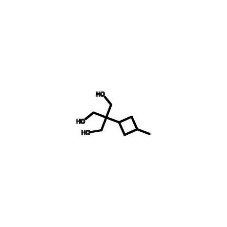 CC1CC(C(CO)(CO)CO)C1